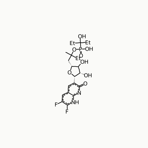 CCC(C)(C[C@H]1O[C@@H](c2cc3cc(F)c(F)[nH]c-3nc2=O)[C@@H](O)C1O)OP(=O)(O)C(O)(CC)CC